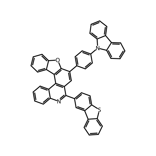 c1ccc2c(c1)nc(-c1ccc3sc4ccccc4c3c1)c1cc(-c3ccc(-n4c5ccccc5c5ccccc54)cc3)c3oc4ccccc4c3c12